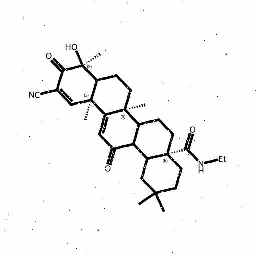 CCNC(=O)[C@@]12CCC3C(C(=O)C=C4[C@@]5(C)C=C(C#N)C(=O)[C@@](C)(O)C5CC[C@]43C)C1CC(C)(C)CC2